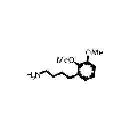 COc1cccc(CCCCN)c1OC